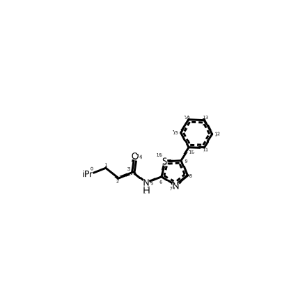 CC(C)CCC(=O)Nc1ncc(-c2ccccc2)s1